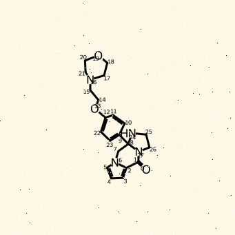 O=C1c2cccn2CC2(c3ccc(OCCN4CCOCC4)cc3)NCCN12